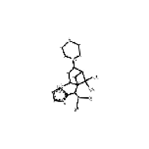 CC1CC(N2CCOCC2)C2CC1(C(B(O)O)c1cccs1)C2(C)C